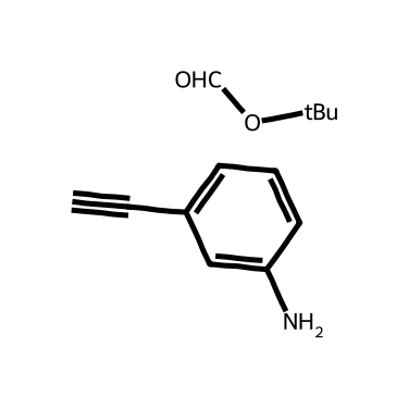 C#Cc1cccc(N)c1.CC(C)(C)OC=O